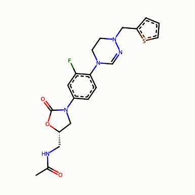 CC(=O)NC[C@H]1CN(c2ccc(N3C=NN(Cc4cccs4)CC3)c(F)c2)C(=O)O1